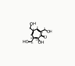 O=c1c(CO)cc(CO)cc(CO)c1O